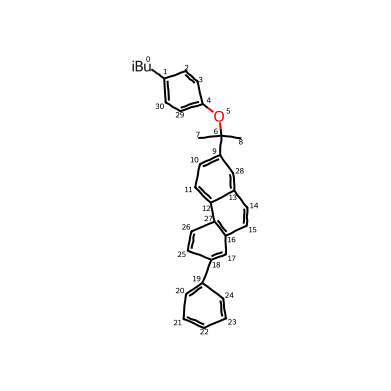 CCC(C)c1ccc(OC(C)(C)c2ccc3c(ccc4cc(-c5ccccc5)ccc43)c2)cc1